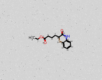 CCOC(=O)CCCC1Sc2ccccc2NC1=O